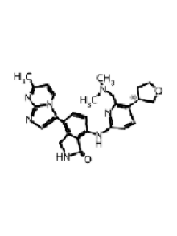 Cc1ccn2c(-c3ccc(Nc4ccc([C@H]5CCOC5)c(CN(C)C)n4)c4c3CNC4=O)cnc2n1